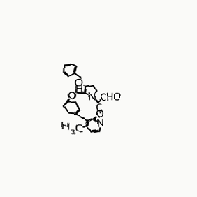 Cc1ccnc2c1C1=CCC(CC1)OC[C@H]1[C@H](OCc3ccccc3)CCN1C(C=O)CO2